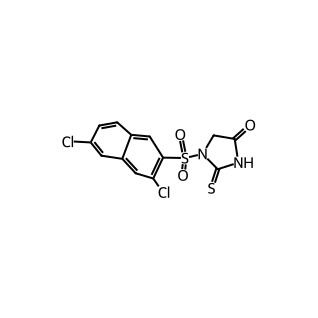 O=C1CN(S(=O)(=O)c2cc3ccc(Cl)cc3cc2Cl)C(=S)N1